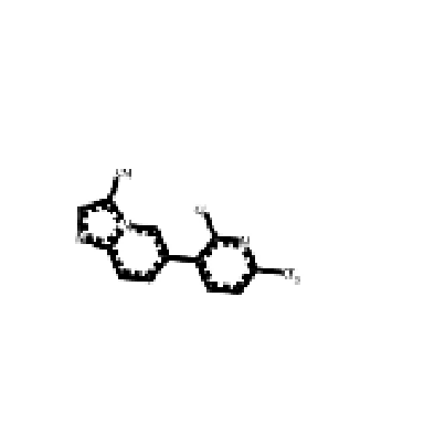 N#Cc1cnc2ccc(-c3ccc(C(F)(F)F)nc3Cl)cn12